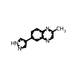 Cc1cnc2cc(-c3cn[nH]c3)ccc2n1